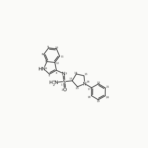 NS(=O)(=Nc1c[nH]c2ccccc12)C1CCN(c2ccccc2)C1